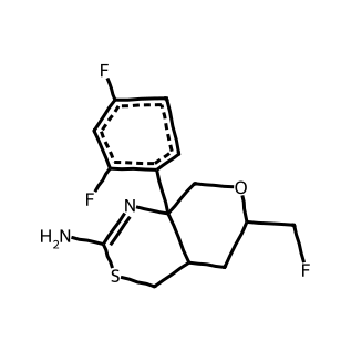 NC1=NC2(c3ccc(F)cc3F)COC(CF)CC2CS1